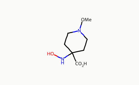 CON1CCC(NO)(C(=O)O)CC1